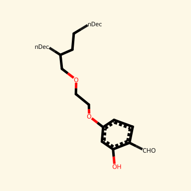 CCCCCCCCCCCCC(CCCCCCCCCC)COCCOc1ccc(C=O)c(O)c1